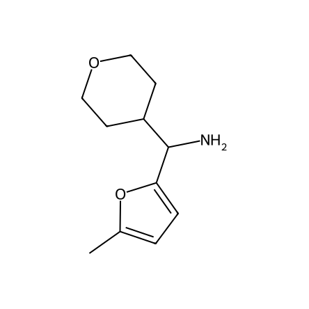 Cc1ccc(C(N)C2CCOCC2)o1